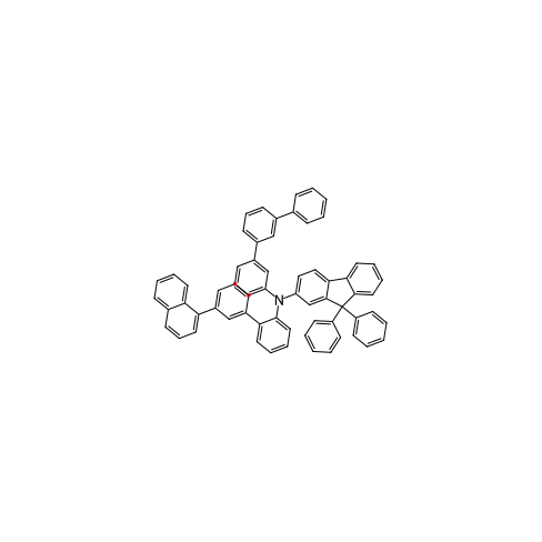 c1ccc(-c2cccc(-c3cccc(N(c4ccc5c(c4)C(c4ccccc4)(c4ccccc4)c4ccccc4-5)c4ccccc4-c4cccc(-c5cccc6ccccc56)c4)c3)c2)cc1